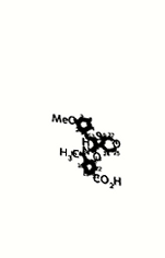 COc1cccc(Cc2sc3c(c2C(=O)NC(C)c2ccc(C(=O)O)cc2)CCOC3)c1